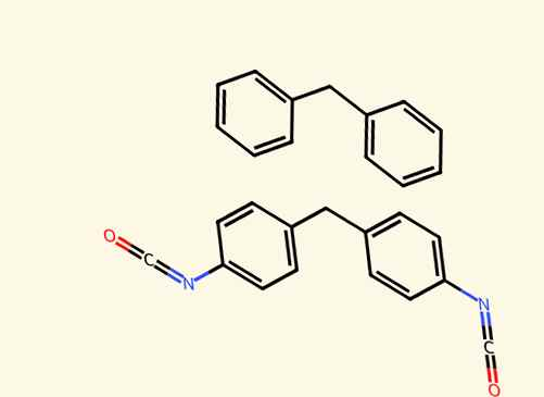 O=C=Nc1ccc(Cc2ccc(N=C=O)cc2)cc1.c1ccc(Cc2ccccc2)cc1